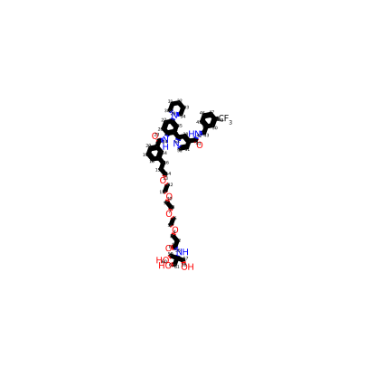 O=C(CCOCCOCCOCCOCCCc1cccc(C(=O)Nc2ccc(N3CCCCC3)cc2-c2cc(C(=O)NCc3cccc(C(F)(F)F)c3)ccn2)c1)NC(CO)(CO)CO